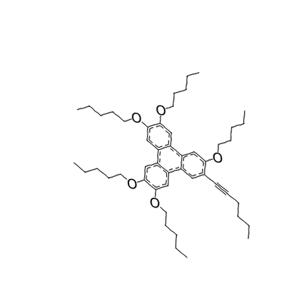 CCCCC#Cc1cc2c(cc1OCCCCC)c1cc(OCCCCC)c(OCCCCC)cc1c1cc(OCCCCC)c(OCCCCC)cc21